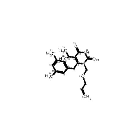 C=CCOCn1c(Cc2cc(C)cc(C)c2)c(C(C)C)c(=O)[nH]c1=O